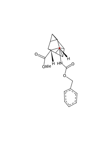 COC(=O)[C@@H]1C2C3C4C5C2C5C(C43)[C@@H]1NC(=O)OCc1ccccc1